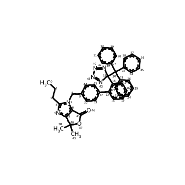 CCCc1nc2c(n1Cc1ccc(-c3ccccc3C3(C(c4ccccc4)(c4ccccc4)c4ccccc4)N=NN=N3)cc1)C(=O)OC2(C)C